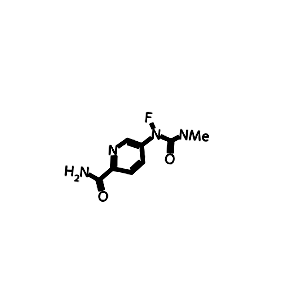 CNC(=O)N(F)c1ccc(C(N)=O)nc1